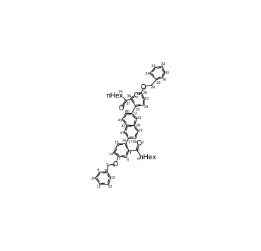 CCCCCCC(=O)c1cc(OCc2ccccc2)ccc1-c1ccc2cc(-c3ccc(OCc4ccccc4)cc3C(=O)CCCCCC)ccc2c1